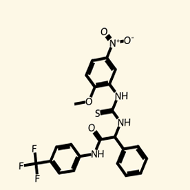 COc1ccc([N+](=O)[O-])cc1NC(=S)NC(C(=O)Nc1ccc(C(F)(F)F)cc1)c1ccccc1